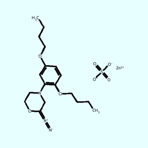 CCCCOc1ccc(OCCCC)c(N2CCOC(=[N+]=[N-])C2)c1.O=S(=O)([O-])[O-].[Zn+2]